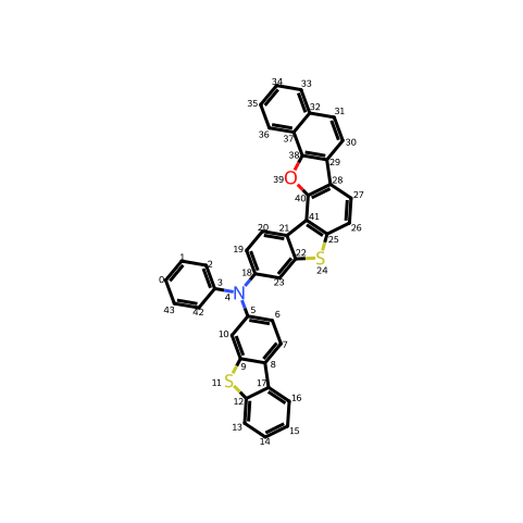 c1ccc(N(c2ccc3c(c2)sc2ccccc23)c2ccc3c(c2)sc2ccc4c5ccc6ccccc6c5oc4c23)cc1